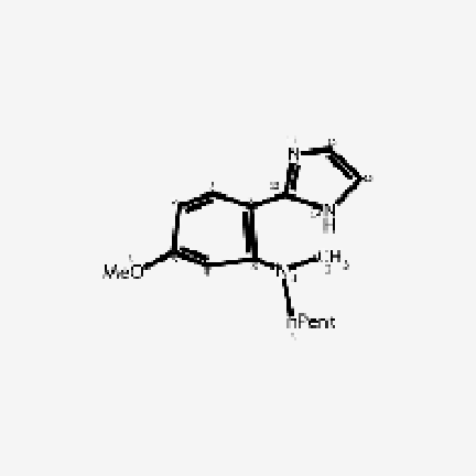 CCCCCN(C)c1cc(OC)ccc1-c1ncc[nH]1